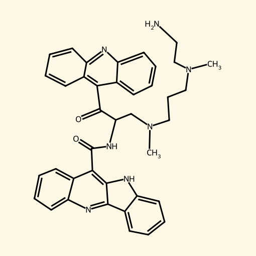 CN(CCN)CCCN(C)CC(NC(=O)c1c2ccccc2nc2c1[nH]c1ccccc12)C(=O)c1c2ccccc2nc2ccccc12